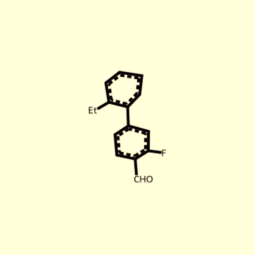 CCc1ccccc1-c1ccc(C=O)c(F)c1